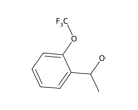 CC([O])c1ccccc1OC(F)(F)F